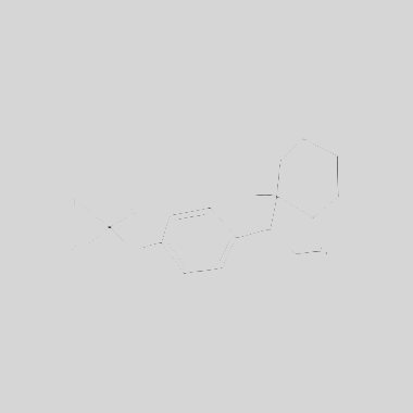 [2H]C([2H])([2H])Oc1ccc(C(CN)C2(O)CCCCC2)cc1